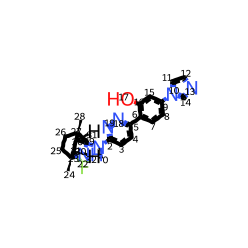 CN(c1ccc(-c2ccc(-n3ccnc3)cc2O)nn1)[C@@H]1[C@H](F)[C@@]2(C)CC[C@]1(C)CN2